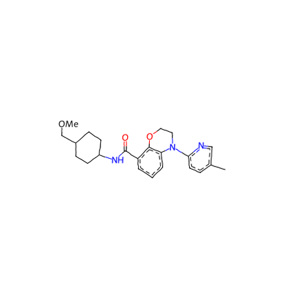 COCC1CCC(NC(=O)c2cccc3c2OCCN3c2ccc(C)cn2)CC1